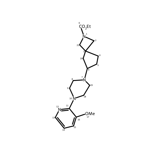 CCOC(=O)N1CC2(CCC(N3CCN(c4ncccc4OC)CC3)C2)C1